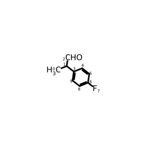 CC(C=O)c1ccc(F)cc1